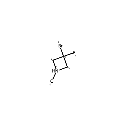 [O-][NH+]1CC(Br)(Br)C1